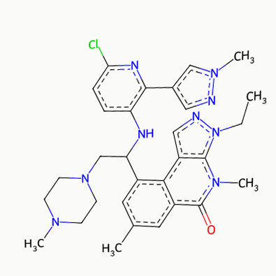 CCn1ncc2c3c(C(CN4CCN(C)CC4)Nc4ccc(Cl)nc4-c4cnn(C)c4)cc(C)cc3c(=O)n(C)c21